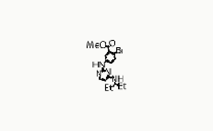 CCC(CC)Nc1ccnc(Nc2ccc(Br)c(C(=O)OC)c2)n1